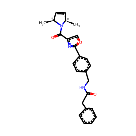 C[C@@H]1C=C[C@H](C)N1C(=O)c1coc(-c2ccc(CNC(=O)Cc3ccccc3)cc2)n1